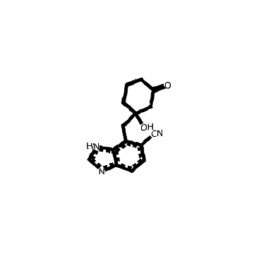 N#Cc1ccc2nc[nH]c2c1CC1(O)CCCC(=O)C1